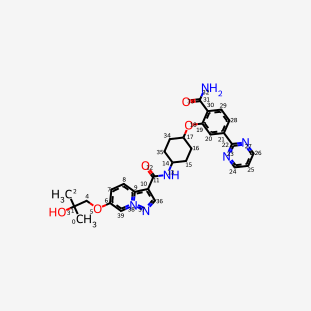 CC(C)(O)COc1ccc2c(C(=O)NC3CCC(Oc4cc(-c5ncccn5)ccc4C(N)=O)CC3)cnn2c1